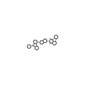 c1ccc(-n2c3ccccc3c3c(-c4ccc5cc(-c6nc7c8c(cccc8n6)-c6ccccc6-7)ccc5c4)cccc32)cc1